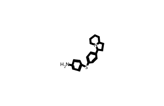 Nc1ccc(Sc2ccc(C3CCC4CCCCN43)cc2)cc1